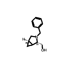 OC[C@@H]1C2C[C@H]2CN1Cc1ccccc1